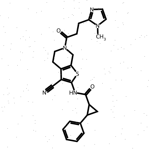 Cn1ccnc1CCC(=O)N1CCc2c(sc(NC(=O)C3CC3c3ccccc3)c2C#N)C1